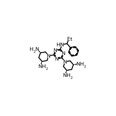 CCC(Nc1nc(N2C[C@H](N)C[C@H](N)C2)nc(N2C[C@H](N)C[C@H](N)C2)n1)c1ccccc1